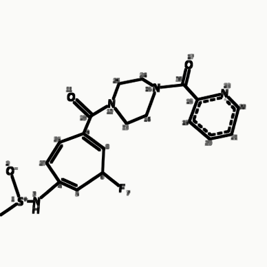 C[S+]([O-])NC1=CC(F)C=C(C(=O)N2CCN(C(=O)c3ccccn3)CC2)C=C1